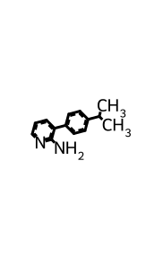 CC(C)c1ccc(-c2cccnc2N)cc1